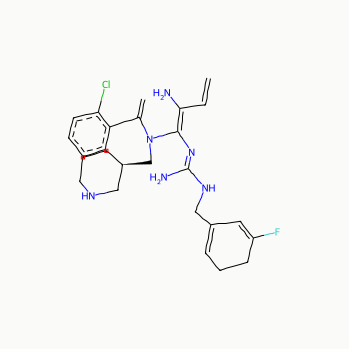 C=C/C(N)=C(\N=C(/N)NCC1=CCCC(F)=C1)N(C[C@@H]1CCCNC1)C(=C)c1ccccc1Cl